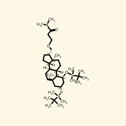 CN(C)C(=O)CCOC[C@H]1CC[C@H]2[C@@H]3CC=C4C[C@@H](O[Si](C)(C)C(C)(C)C)C[C@H](O[Si](C)(C)C(C)(C)C)[C@]4(C)[C@H]3CC[C@]12C